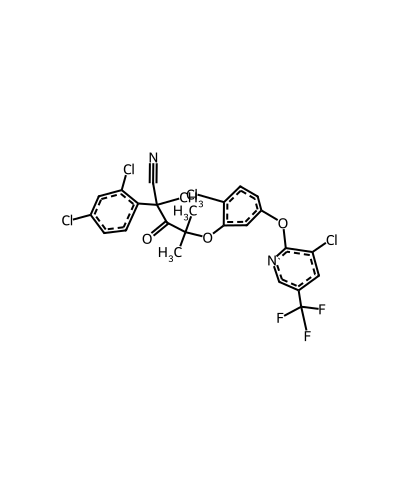 CC(C)(Oc1cc(Oc2ncc(C(F)(F)F)cc2Cl)ccc1Cl)C(=O)C(C)(C#N)c1ccc(Cl)cc1Cl